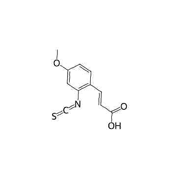 COc1ccc(C=CC(=O)O)c(N=C=S)c1